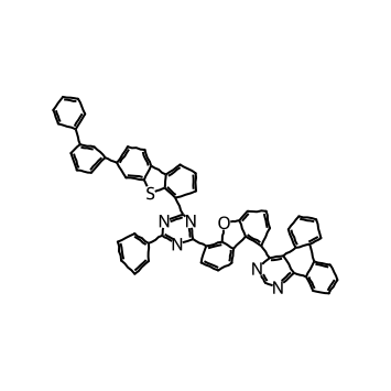 c1ccc(-c2cccc(-c3ccc4c(c3)sc3c(-c5nc(-c6ccccc6)nc(-c6cccc7c6oc6cccc(-c8ncnc9c%10ccccc%10c%10ccccc%10c89)c67)n5)cccc34)c2)cc1